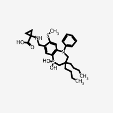 CCCCC1(CCCC)CN(c2ccccc2)c2cc(SC)c(CNC3(C(=O)O)CC3)cc2S(O)(O)C1